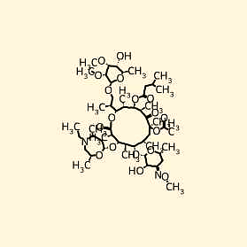 CCN1C[C@H](C)O[C@@H](O[C@H]2[C@H](C)[C@@H](O[C@@H]3O[C@H](C)C/C(=N\OC)[C@H]3O)[C@@H](C)C[C@](C)(OC(C)=O)C(=O)[C@H](C)[C@H](OC(=O)CC(C)C)[C@@H](C)[C@@H]([C@@H](C)CO[C@@H]3O[C@H](C)[C@@H](O)[C@@H](OC)[C@H]3OC)OC(=O)[C@@H]2C)C[C@@H]1C